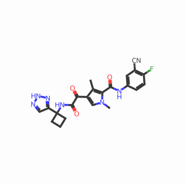 Cc1c(C(=O)C(=O)NC2(c3cn[nH]n3)CCC2)cn(C)c1C(=O)Nc1ccc(F)c(C#N)c1